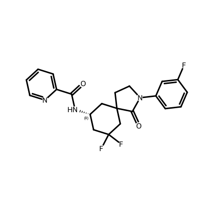 O=C(N[C@H]1CC(F)(F)CC2(CCN(c3cccc(F)c3)C2=O)C1)c1ccccn1